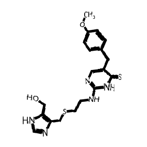 COc1ccc(Cc2cnc(NCCSCc3nc[nH]c3CO)[nH]c2=S)cc1